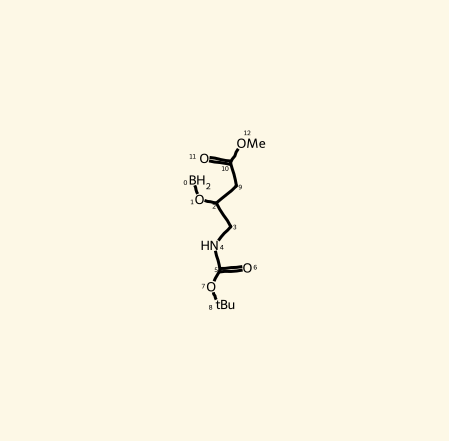 BOC(CNC(=O)OC(C)(C)C)CC(=O)OC